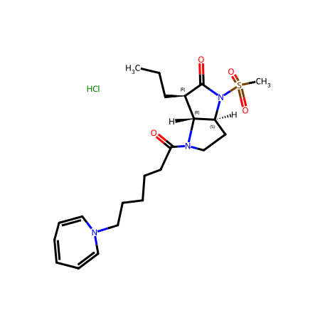 CCC[C@H]1C(=O)N(S(C)(=O)=O)[C@H]2CCN(C(=O)CCCCCN3C=CC=CC=C3)[C@H]12.Cl